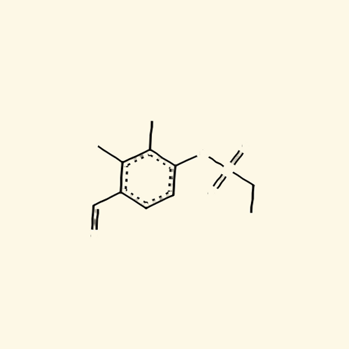 CCS(=O)(=O)Oc1ccc(C=O)c(C)c1C